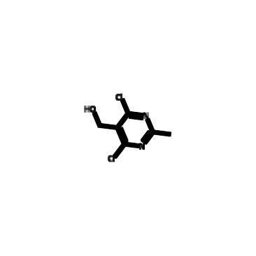 Cc1nc(Cl)c(CO)c(Cl)n1